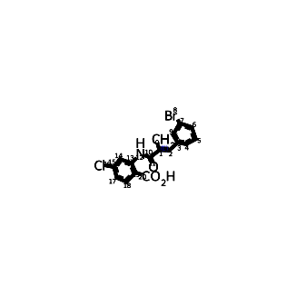 C/C(=C\c1cccc(Br)c1)C(=O)Nc1cc(Cl)ccc1C(=O)O